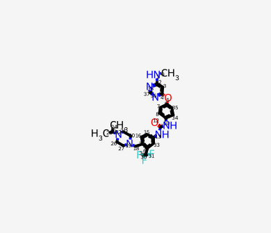 CNc1cc(Oc2ccc(NC(=O)Nc3ccc(CN4CCN(C(C)C)CC4)c(C(F)(F)F)c3)cc2)ncn1